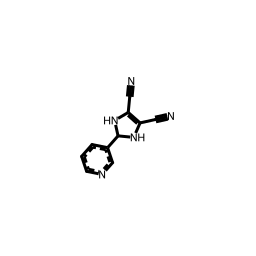 N#CC1=C(C#N)NC(c2cccnc2)N1